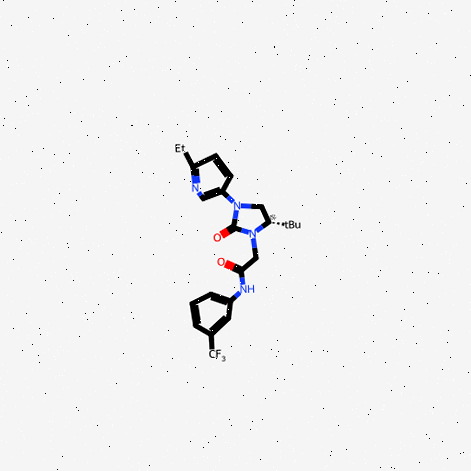 CCc1ccc(N2C[C@H](C(C)(C)C)N(CC(=O)Nc3cccc(C(F)(F)F)c3)C2=O)cn1